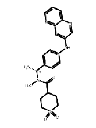 CN(C(=O)C1CCS(=O)(=O)CC1)[C@@H](c1ccc(Nc2cnc3cccnc3c2)cc1)C(F)(F)F